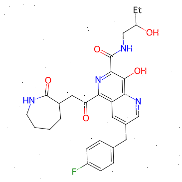 CCC(O)CNC(=O)c1nc(C(=O)CC2CCCCNC2=O)c2cc(Cc3ccc(F)cc3)cnc2c1O